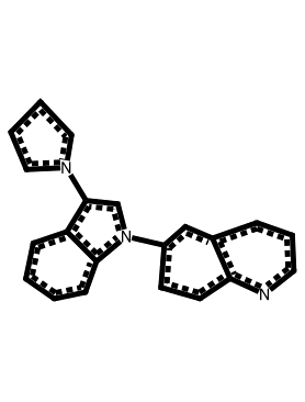 c1cnc2ccc(-n3cc(-n4cccc4)c4ccccc43)cc2c1